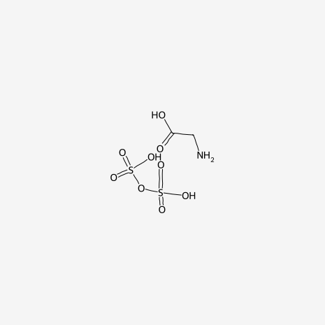 NCC(=O)O.O=S(=O)(O)OS(=O)(=O)O